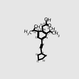 CC(C)c1cc(C#CC2CCCC2)cc(C(C)C)c1CC(=O)O